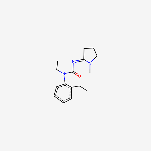 CCc1ccccc1N(CC)C(=O)N=C1CCCN1C